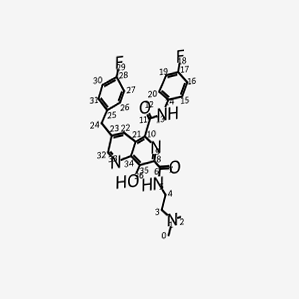 CN(C)CCNC(=O)c1nc(C(=O)Nc2ccc(F)cc2)c2cc(Cc3ccc(F)cc3)cnc2c1O